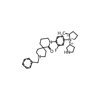 C[C@H]1CCC[N+]1(c1ccc(N2CCCC3(CCN(Cc4ccccc4)CC3)C2=O)c(F)c1)[C@H]1CCNC1